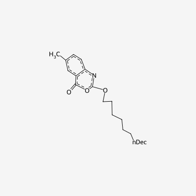 CCCCCCCCCCCCCCCCOc1nc2ccc(C)cc2c(=O)o1